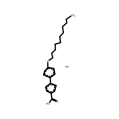 CCCCCCCCCCCOc1ccc(-c2ccc(C(=O)O)cc2)cc1.Cl